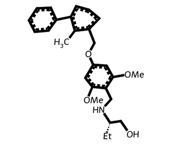 CC[C@@H](CO)NCc1c(OC)cc(OCc2cccc(-c3ccccc3)c2C)cc1OC